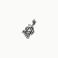 COC(=O)c1sccc1C1CCN(C)CC1N(C(=O)OC(C)(C)C)c1cc(Nc2cc(-c3cc(Cl)ccc3F)nnc2SCCO[Si](C)(C)C(C)(C)C)ccn1